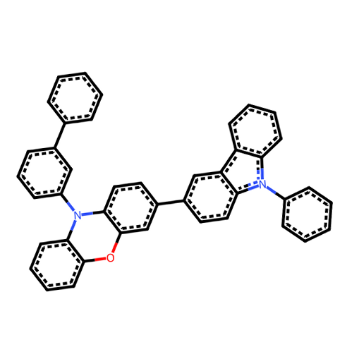 c1ccc(-c2cccc(N3c4ccccc4Oc4cc(-c5ccc6c(c5)c5ccccc5n6-c5ccccc5)ccc43)c2)cc1